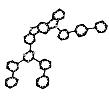 c1ccc(-c2ccc(-c3cccc(-n4c5ccccc5c5cc6oc7ccc(-c8nc(-c9cccc(-c%10ccccc%10)c9)nc(-c9cccc(-c%10ccccc%10)c9)n8)cc7c6cc54)c3)cc2)cc1